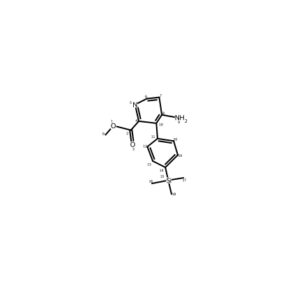 COC(=O)c1nccc(N)c1-c1ccc([Si](C)(C)C)cc1